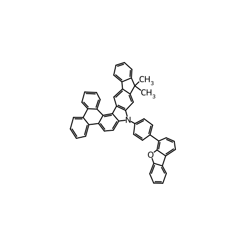 CC1(C)c2ccccc2-c2cc3c4c5c6ccccc6c6ccccc6c5ccc4n(-c4ccc(-c5cccc6c5oc5ccccc56)cc4)c3cc21